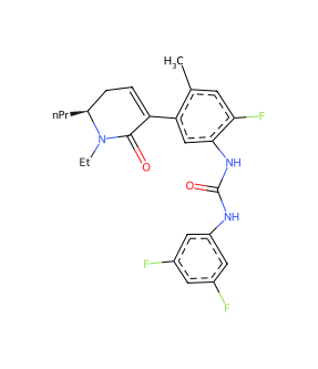 CCC[C@H]1CC=C(c2cc(NC(=O)Nc3cc(F)cc(F)c3)c(F)cc2C)C(=O)N1CC